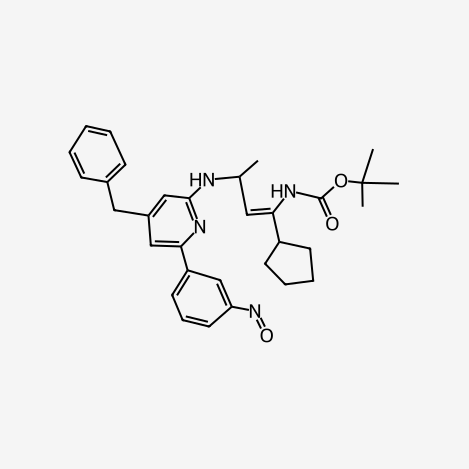 CC(/C=C(\NC(=O)OC(C)(C)C)C1CCCC1)Nc1cc(Cc2ccccc2)cc(-c2cccc(N=O)c2)n1